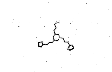 OCCCN1CN(CCCc2ccco2)CN(CCCc2ccco2)C1